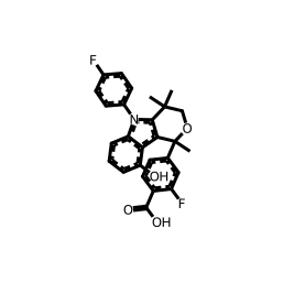 CC1(C)COC(C)(c2ccc(C(=O)O)c(F)c2)c2c1n(-c1ccc(F)cc1)c1cccc(O)c21